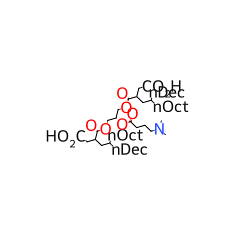 CCCCCCCCCCC(CCCCCCCC)CC(CC(=O)O)C(=O)OCC(COC(=O)C(CC(=O)O)CC(CCCCCCCC)CCCCCCCCCC)OC(=O)CCCN(C)C